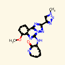 COc1cccc2c1nc(Nc1ccccnc1=O)n1nc(-c3cn(C)nn3)nc21